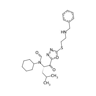 CC(C)C[C@@H](C(=O)c1nnc(SCCNCc2ccccc2)o1)N(C=O)C1CCCCC1